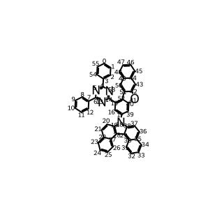 c1ccc(-c2nc(-c3ccccc3)nc(-c3cc(-n4c5ccc6ccccc6c5c5c6ccccc6ccc54)cc4oc5cc6ccccc6cc5c34)n2)cc1